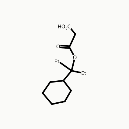 CCC(CC)(OC(=O)CC(=O)O)C1CCCCC1